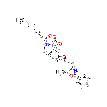 CCCCCC=CC(=O)N1CCc2ccc(OCCc3nc(-c4ccccc4)oc3C)cc2C1C(=O)O